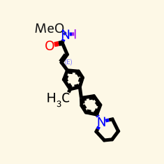 CON(I)C(=O)/C=C/c1ccc(-c2ccc(N3CCCCC3)cc2)c(C)c1